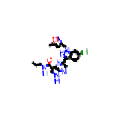 CCCNC(=O)c1c[nH]c2ncc(-c3nn(Cc4cc(C)on4)c4cc(Cl)ccc34)nc12